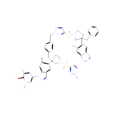 Cc1cc2c(cnn2-c2cc(C)c(=O)n(C)c2)cc1C1(Cc2ccc(Cn3ncc(S(=O)(=O)N4CCC(Cc5ccccc5)(c5cc6cn[nH]c6cc5C)C4)n3)cc2)CCN(S(=O)(=O)c2cnn(C)n2)C1